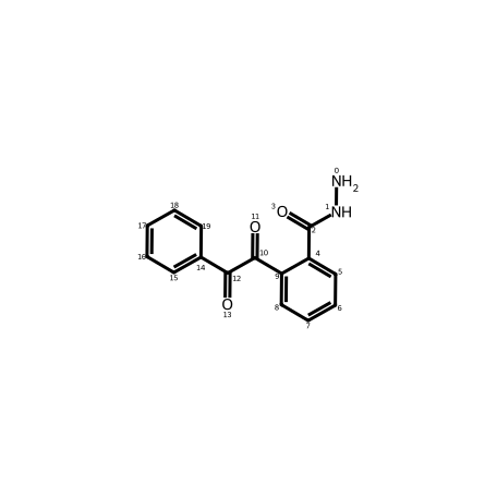 NNC(=O)c1ccccc1C(=O)C(=O)c1ccccc1